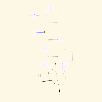 N=C(/N=C(/N[C@@H]1[C@@H](C(=O)O)[C@@H]2C=C[C@H]1CC2)c1ccc[nH]1)C(=N)c1cccnc1N